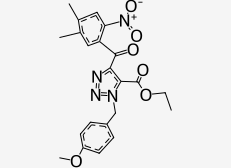 CCOC(=O)c1c(C(=O)c2cc(C)c(C)cc2[N+](=O)[O-])nnn1Cc1ccc(OC)cc1